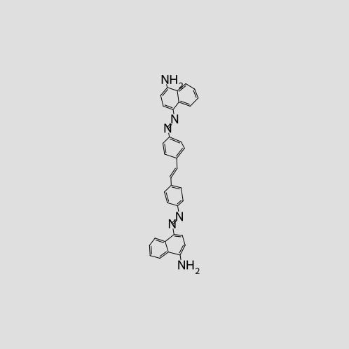 Nc1ccc(/N=N/c2ccc(/C=C/c3ccc(/N=N/c4ccc(N)c5ccccc45)cc3)cc2)c2ccccc12